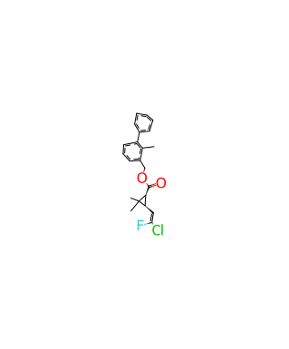 Cc1c(COC(=O)[C@H]2[C@@H](/C=C(\F)Cl)C2(C)C)cccc1-c1ccccc1